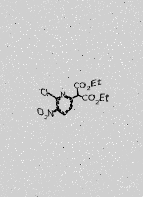 CCOC(=O)C(C(=O)OCC)c1ccc([N+](=O)[O-])c(Cl)n1